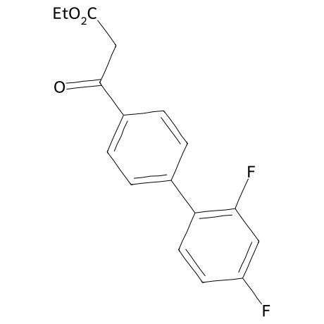 CCOC(=O)CC(=O)c1ccc(-c2ccc(F)cc2F)cc1